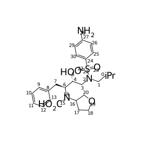 CC(C)CN(C[C@@H](O)[C@H](Cc1ccccc1)N(C(=O)O)C1CCOC1)S(=O)(=O)c1ccc(N)cc1